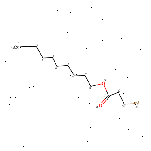 CCCCCCCCCCCCCCCCOC(=O)CCS